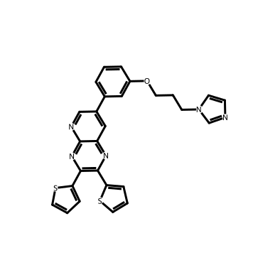 c1cc(OCCCn2ccnc2)cc(-c2cnc3nc(-c4cccs4)c(-c4cccs4)nc3c2)c1